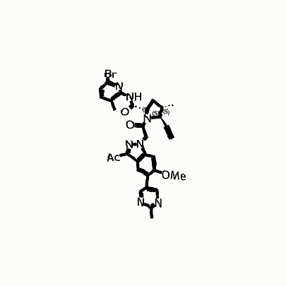 C#C[C@@H]1[C@@H](C)C[C@@H](C(=O)Nc2nc(Br)ccc2C)N1C(=O)Cn1nc(C(C)=O)c2cc(-c3cnc(C)nc3)c(OC)cc21